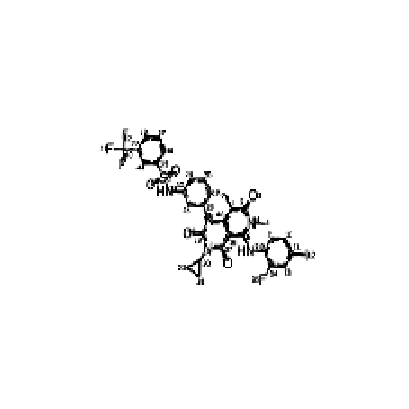 Cc1c(=O)n(C)c(Nc2ccc(I)cc2F)c2c(=O)n(C3CC3)c(=O)n(-c3cccc(NS(=O)(=O)c4cccc(C(F)(F)F)c4)c3)c12